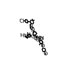 CO[C@H]1CC[C@H](COc2ccc(S(=O)(=O)NC(=O)c3ccc(N4CCN(CC5=C(c6ccc(Cl)cc6)CC(C)(C)CC5)CC4)cc3Oc3cnc4[nH]ccc4c3)cc2C)CC1